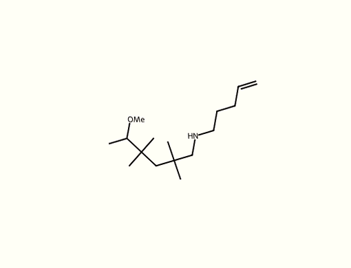 C=CCCCNCC(C)(C)CC(C)(C)C(C)OC